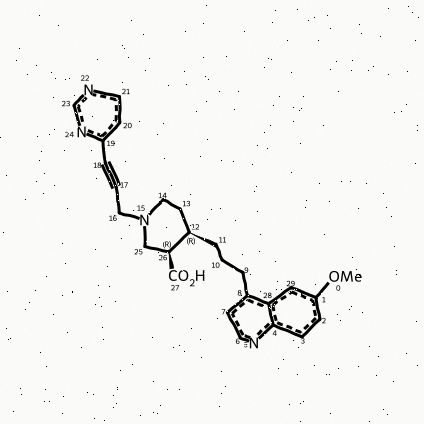 COc1ccc2nccc(CCC[C@@H]3CCN(CC#Cc4ccncn4)C[C@@H]3C(=O)O)c2c1